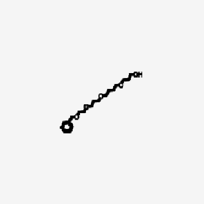 OCCCOCCCCOCCCOCCOCc1ccccc1